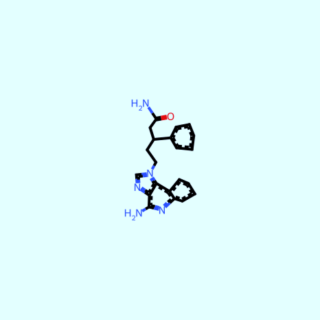 NC(=O)CC(CCn1cnc2c(N)nc3ccccc3c21)c1ccccc1